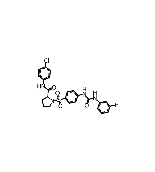 O=C(Nc1ccc(S(=O)(=O)N2CCC[C@H]2C(=O)Nc2ccc(Cl)cc2)cc1)Nc1cccc(F)c1